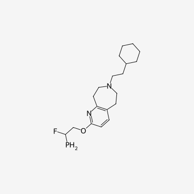 FC(P)COc1ccc2c(n1)CCN(CCC1CCCCC1)CC2